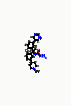 CC(C)N1CC=C(c2ccc3c(c2)[C@]2(COC(N)=N2)c2cc(-c4cncnc4)ccc2O3)CC1